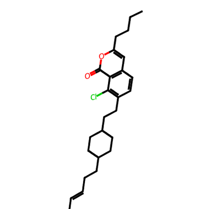 C/C=C/CCC1CCC(CCc2ccc3cc(CCCC)oc(=O)c3c2Cl)CC1